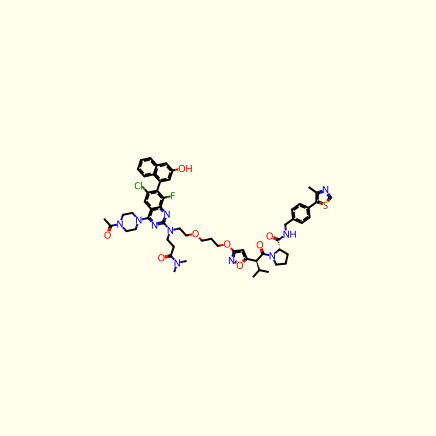 CC(=O)N1CCN(c2nc(N(CCOCCCOc3cc([C@@H](C(=O)N4CCC[C@H]4C(=O)NCc4ccc(-c5scnc5C)cc4)C(C)C)on3)CCC(=O)N(C)C)nc3c(F)c(-c4cc(O)cc5ccccc45)c(Cl)cc23)CC1